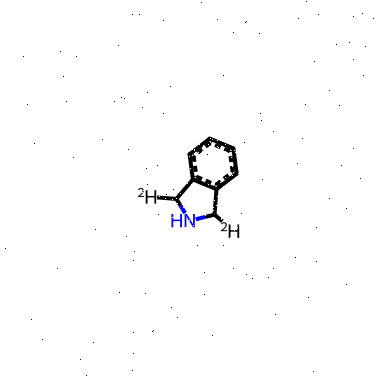 [2H]C1NC([2H])c2ccccc21